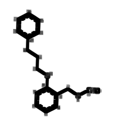 O=[C]OCc1ccccc1OCCCc1ccccc1